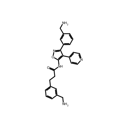 NCc1cccc(CCC(=O)Nc2onc(-c3cccc(CN)c3)c2-c2ccncc2)c1